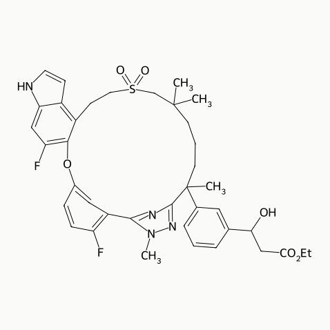 CCOC(=O)CC(O)c1cccc(C2(C)CCCC(C)(C)CS(=O)(=O)CCc3c(c(F)cc4[nH]ccc34)Oc3ccc(F)c(c3)-c3nc2nn3C)c1